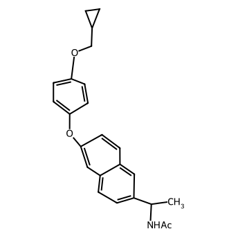 CC(=O)NC(C)c1ccc2cc(Oc3ccc(OCC4CC4)cc3)ccc2c1